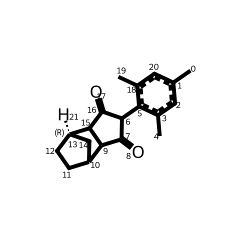 Cc1cc(C)c(C2C(=O)C3C4CC[C@H](C4)C3C2=O)c(C)c1